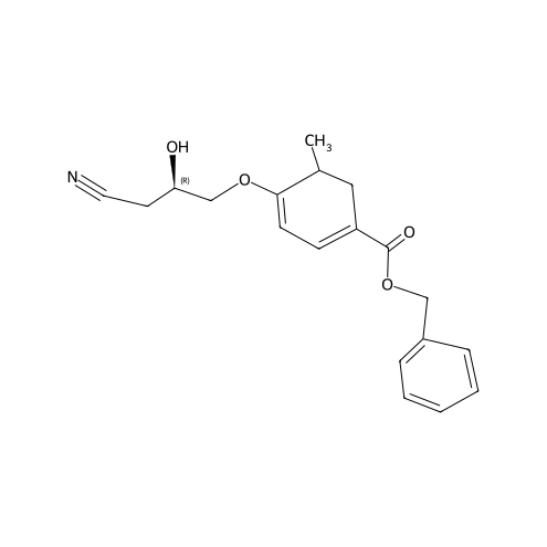 CC1CC(C(=O)OCc2ccccc2)=CC=C1OC[C@H](O)CC#N